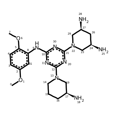 COc1ccc(OC)c(Nc2nc(N3CCC[C@H](N)C3)nc(N3C[C@H](N)C[C@H](N)C3)n2)c1